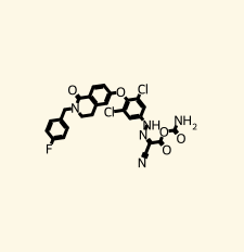 N#CC(=NNc1cc(Cl)c(Oc2ccc3c(c2)CCN(Cc2ccc(F)cc2)C3=O)c(Cl)c1)C(=O)OC(N)=O